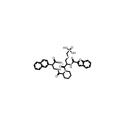 NC(=O)C(CNC(=O)C1CCCCN1C(=O)C(CSCP(=O)(O)O)NC(=O)c1cc2ccccc2o1)c1ccc2ccccc2c1